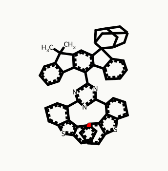 CC1(C)c2ccccc2-c2c1cc1c(c2-c2nc(-c3cccc4sc5ccccc5c34)nc(-c3cccc4sc5ccccc5c34)n2)-c2ccccc2C12C1CC3CC(C1)CC2C3